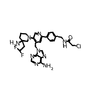 Nc1ncnc2c1ncn2Cc1cc(-c2ccc(CNC(=O)CCl)cc2)ncc1N1CCCC(N)(CC(F)F)C1